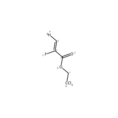 [2H]/C=C(\F)C(=O)OCC(Cl)(Cl)Cl